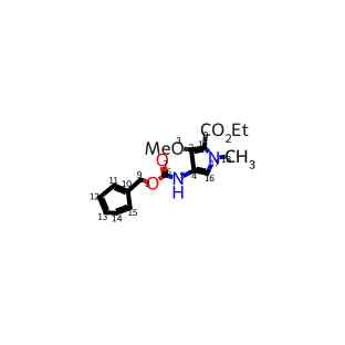 CCOC(=O)c1c(OC)c(NC(=O)OCc2ccccc2)cn1C